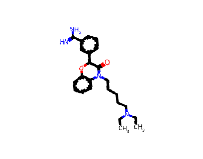 CCN(CC)CCCCCN1C(=O)C(c2cccc(C(=N)N)c2)Oc2ccccc21